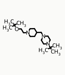 CC(C)(C)OCCN1CCC(CN2CCN(C(C)(C)C)CC2)CC1